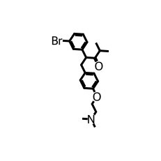 CC(C)C(=O)C(Cc1ccc(OCCN(C)C)cc1)c1cccc(Br)c1